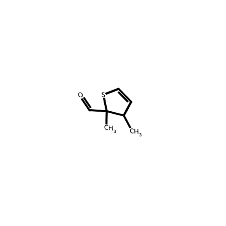 CC1C=CSC1(C)C=O